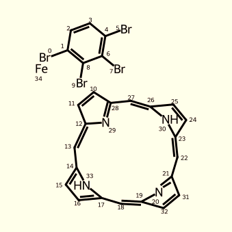 Brc1ccc(Br)c(Br)c1Br.C1=Cc2cc3ccc(cc4nc(cc5ccc(cc1n2)[nH]5)C=C4)[nH]3.[Fe]